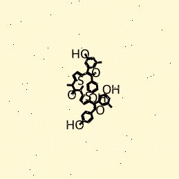 Cc1cc(O)cc2c(-c3ccc(C(C)C(=O)C(C)c4ccc(-c5c(-c6ccc(O)cc6)oc6c(C)cc(O)cc56)s4)s3)c(-c3ccc(O)cc3)oc12